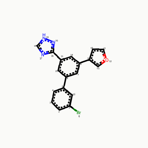 Brc1cccc(-c2cc(-c3ccoc3)cc(-c3nc[nH]n3)c2)c1